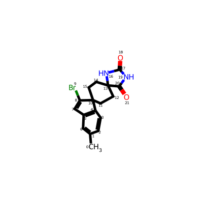 Cc1ccc2c(c1)C=C(Br)C21CCC2(CC1)NC(=O)NC2=O